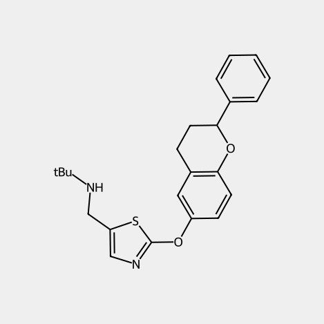 CC(C)(C)NCc1cnc(Oc2ccc3c(c2)CCC(c2ccccc2)O3)s1